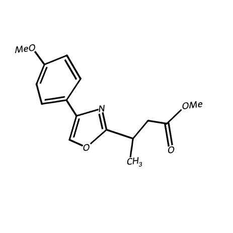 COC(=O)CC(C)c1nc(-c2ccc(OC)cc2)co1